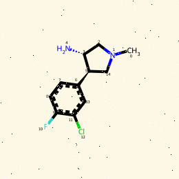 CN1C[C@@H](N)[C@H](c2ccc(F)c(Cl)c2)C1